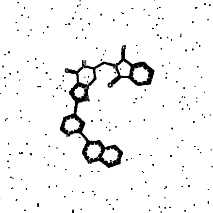 O=C1NC(CN2C(=O)c3ccccc3C2=O)Cn2nc(-c3ccnc(-c4cnc5ccccc5c4)c3)cc21